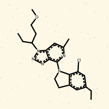 CCc1cc(Cl)c2c(c1)CCN2c1nc(C)cc2c1nnn2C(CC)CCOC